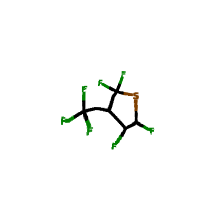 FC1SC(F)(F)C(C(F)(F)F)C1F